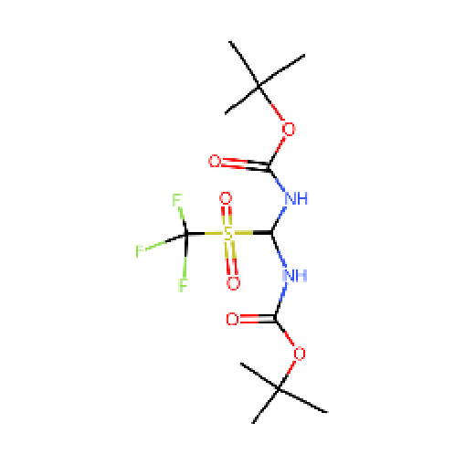 CC(C)(C)OC(=O)NC(NC(=O)OC(C)(C)C)S(=O)(=O)C(F)(F)F